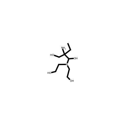 CCC(N)(CO)C(O)N(CCO)CCO